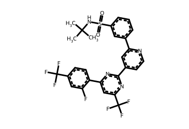 CC(C)(C)NS(=O)(=O)c1cccc(-c2cc(-c3nc(-c4ccc(C(F)(F)F)cc4F)cc(C(F)(F)F)n3)ccn2)c1